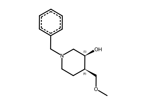 COC[C@H]1CCN(Cc2ccccc2)C[C@H]1O